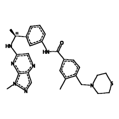 Cc1cc(C(=O)Nc2cccc([C@H](C)Nc3cnc4cnn(C)c4n3)c2)ccc1CN1CCSCC1